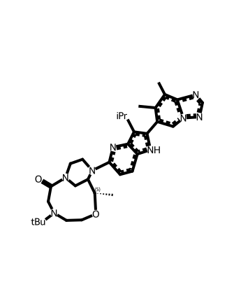 Cc1c(-c2[nH]c3ccc(N4CCN5CC4[C@H](C)OCCN(C(C)(C)C)CC5=O)nc3c2C(C)C)cn2ncnc2c1C